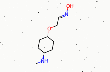 CN[C@H]1CC[C@H](OC/C=N/O)CC1